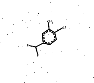 CCc1ccc(C(F)F)cc1C